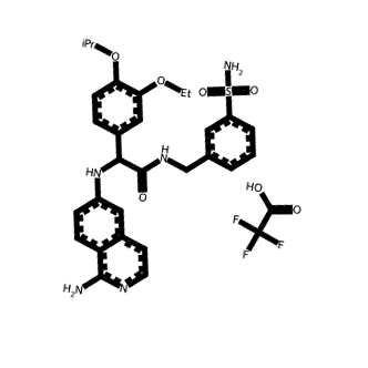 CCOc1cc(C(Nc2ccc3c(N)nccc3c2)C(=O)NCc2cccc(S(N)(=O)=O)c2)ccc1OC(C)C.O=C(O)C(F)(F)F